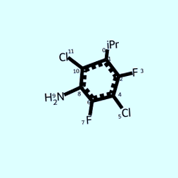 CC(C)c1c(F)c(Cl)c(F)c(N)c1Cl